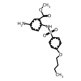 CCCCOc1ccc(S(=O)(=O)Nc2ccc(N)cc2C(=O)OC)cc1